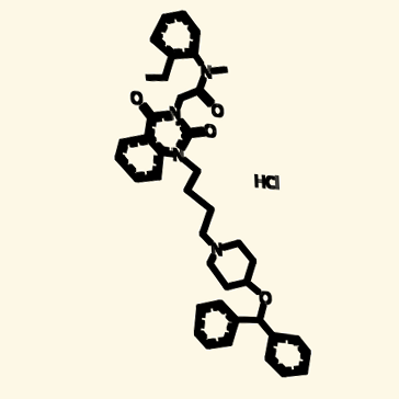 CCc1ccccc1N(C)C(=O)Cn1c(=O)c2ccccc2n(CCCCN2CCC(OC(c3ccccc3)c3ccccc3)CC2)c1=O.Cl